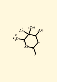 CC(=O)C1(O)C(O)CC(C)OC1C(F)(F)F